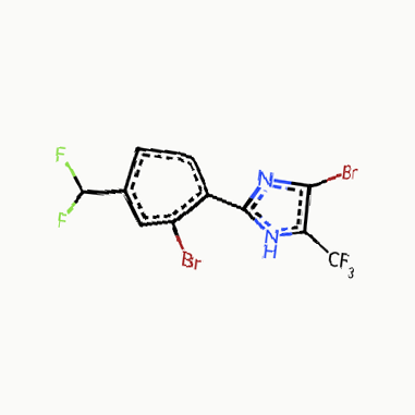 FC(F)c1ccc(-c2nc(Br)c(C(F)(F)F)[nH]2)c(Br)c1